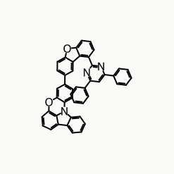 c1ccc(-c2cc(-c3ccccc3)nc(-c3cccc4oc5ccc(-c6ccc7c(c6)Oc6cccc8c9ccccc9n-7c68)cc5c34)n2)cc1